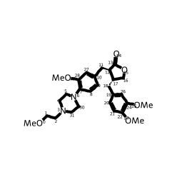 COCCN1CCN(c2ccc(C[C@H]3C(=O)OC[C@@H]3Cc3ccc(OC)c(OC)c3)cc2OC)CC1